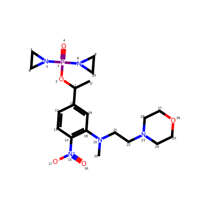 CC(OP(=O)(N1CC1)N1CC1)c1ccc([N+](=O)[O-])c(N(C)CCN2CCOCC2)c1